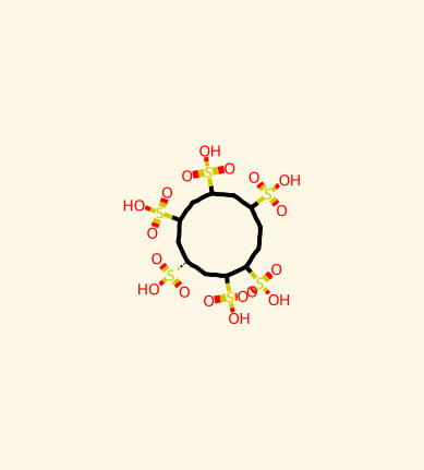 O=S(=O)(O)C1CCC(S(=O)(=O)O)C(S(=O)(=O)O)C[C@H](S(=O)(=O)O)CC(S(=O)(=O)O)CC(S(=O)(=O)O)C1